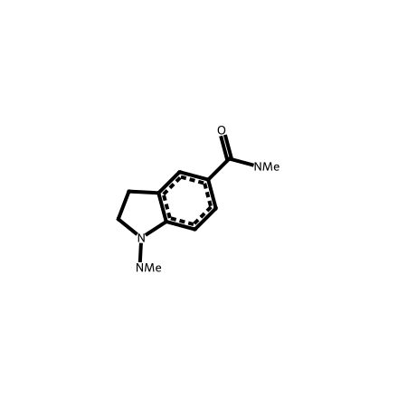 CNC(=O)c1ccc2c(c1)CCN2NC